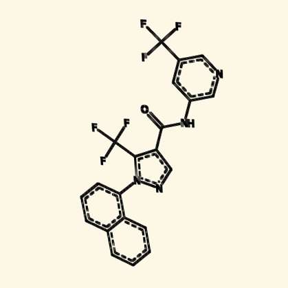 O=C(Nc1cncc(C(F)(F)F)c1)c1cnn(-c2cccc3ccccc23)c1C(F)(F)F